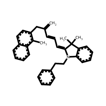 C=C(/C=C/C=C1/N(CCc2ccccc2)c2ccccc2C1(C)C)Cc1ccc2ccccc2c1C